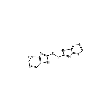 C1=NCNc2nc(SSc3nc4ncncc4[nH]3)[nH]c21